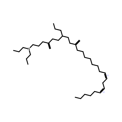 C=C(CCCCCCC/C=C\C/C=C\CCCCC)CCC(CCC)CCC(=C)CCCN(CCC)CCC